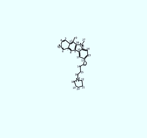 Cc1c2ccncc2cc2c3cc(OCCCN4CCCCC4)ccc3n(C)c12